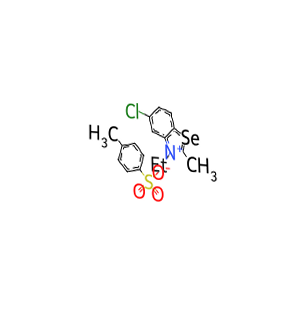 CC[n+]1c(C)[se]c2ccc(Cl)cc21.Cc1ccc(S(=O)(=O)[O-])cc1